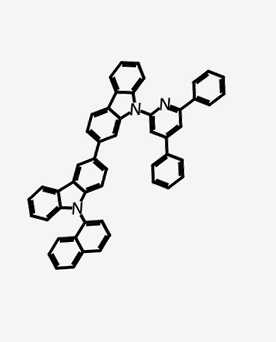 c1ccc(-c2cc(-c3ccccc3)nc(-n3c4ccccc4c4ccc(-c5ccc6c(c5)c5ccccc5n6-c5cccc6ccccc56)cc43)c2)cc1